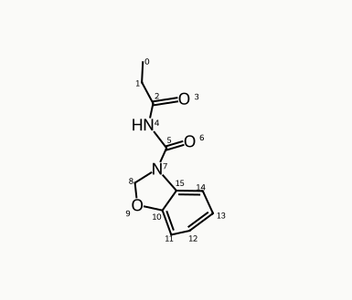 CCC(=O)NC(=O)N1COc2ccccc21